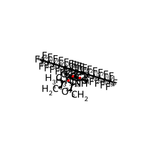 C=C(OC(=C)C(C)NS(=O)(=O)C(F)(F)C(F)(F)C(F)(F)C(F)(F)C(F)(F)C(F)(F)C(F)(F)C(F)(F)F)C(C)NS(=O)(=O)C(F)(F)C(F)(F)C(F)(F)C(F)(F)C(F)(F)C(F)(F)C(F)(F)C(F)(F)F